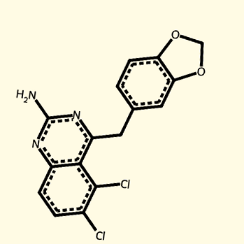 Nc1nc(Cc2ccc3c(c2)OCO3)c2c(Cl)c(Cl)ccc2n1